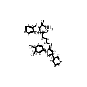 NC(=O)[C@@H](Cc1ccccc1O)NC(=O)CCCOc1cc(-c2cccnc2)nn1-c1ccc(Cl)c(Cl)c1